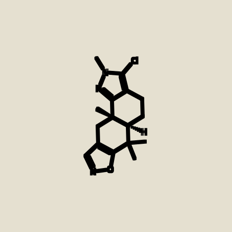 Cn1nc2c(c1Cl)CC[C@H]1C(C)(C)c3oncc3C[C@]21C